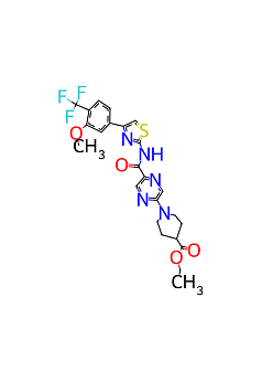 CCOC(=O)C1CCN(c2cnc(C(=O)Nc3nc(-c4ccc(C(F)(F)F)c(OC)c4)cs3)cn2)CC1